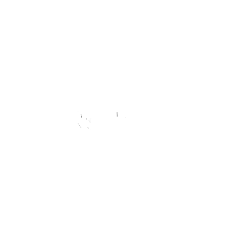 O=C(CCCCN1C(=O)C=CC1=O)OC1CCCCCCCCCCC1